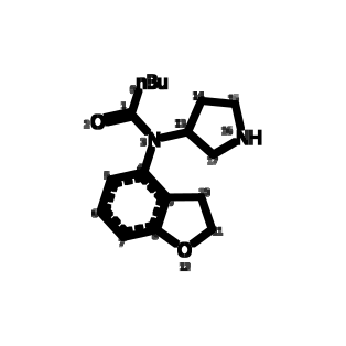 CCCCC(=O)N(c1cccc2c1CCO2)C1CCNC1